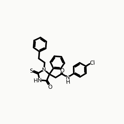 O=C(CC1(c2ccccc2)C(=O)NC(=S)N1CCc1ccccc1)Nc1ccc(Cl)cc1